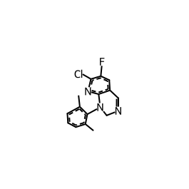 Cc1cccc(C)c1N1CN=Cc2cc(F)c(Cl)nc21